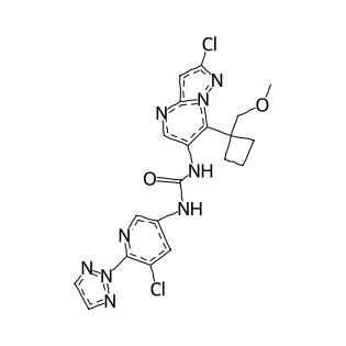 COCC1(c2c(NC(=O)Nc3cnc(-n4nccn4)c(Cl)c3)cnc3cc(Cl)nn23)CCC1